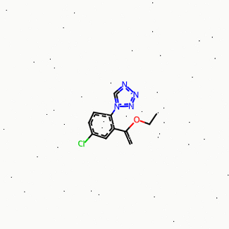 C=C(OCC)c1cc(Cl)ccc1-n1cnnn1